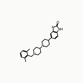 Cc1cccc(C)c1CN1CCC(N2CCC(c3ccc4c(c3)[N]C(=O)N4)CC2)CC1